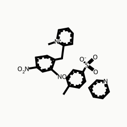 C[n+]1ccccc1Cc1ccc([N+](=O)[O-])cc1[N+](=O)[O-].Cc1ccc(S(=O)(=O)[O-])cc1.c1ccncc1